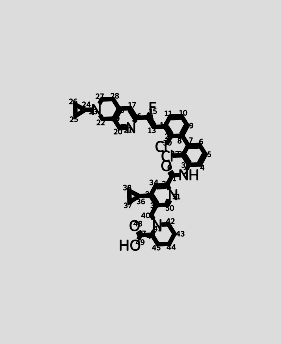 O=C(Nc1cccc(-c2cccc(C=C(F)c3cc4c(cn3)CN(C3CC3)CC4)c2Cl)c1Cl)c1cc(C2CC2)c(CN2CCCCC2C(=O)O)cn1